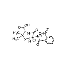 CC1(C)S[C@H]2N(C(=O)[C@]2(C)NC(=O)c2ccccc2[N+](=O)[O-])[C@H]1C(=O)O